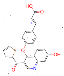 O=C(O)/C=C/c1ccc(Oc2c(C(=O)c3cccs3)cnc3cc(O)ccc23)cc1